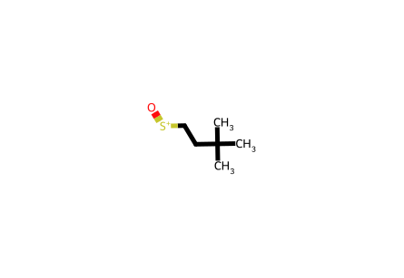 CC(C)(C)CC[S+]=O